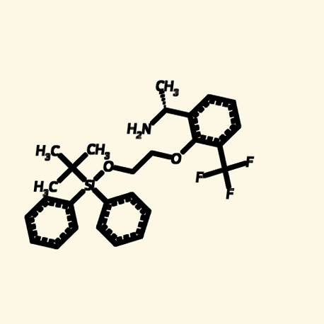 C[C@@H](N)c1cccc(C(F)(F)F)c1OCCO[Si](c1ccccc1)(c1ccccc1)C(C)(C)C